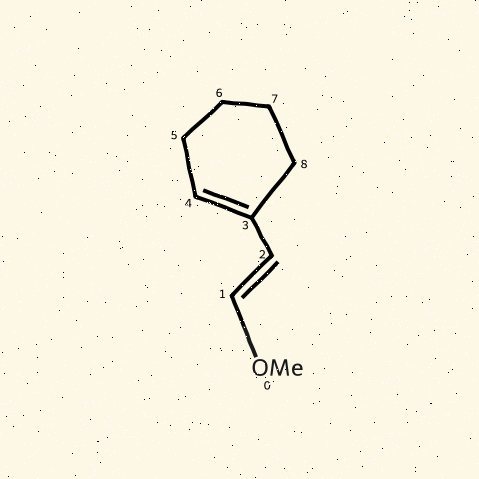 COC=CC1=CCCCC1